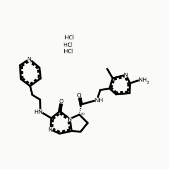 Cc1nc(N)ccc1CNC(=O)[C@@H]1CCc2cnc(NCCc3ccncc3)c(=O)n21.Cl.Cl.Cl